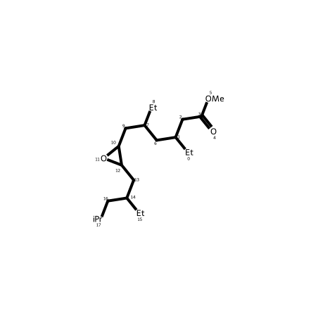 CCC(CC(=O)OC)CC(CC)CC1OC1CC(CC)CC(C)C